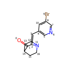 O=C1C(=Cc2cncc(Br)c2)N2CCC1CC2